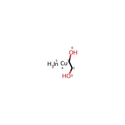 OCCO.[Cu].[InH3]